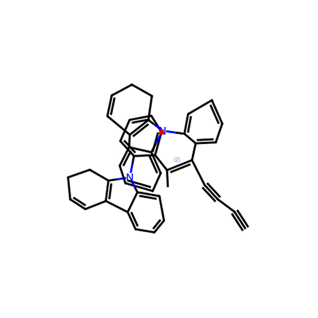 C#CC#C/C(=C(\C)c1ccccc1-n1c2c(c3ccccc31)C=CCC2)c1ccccc1-n1c2c(c3ccccc31)C=CCC2